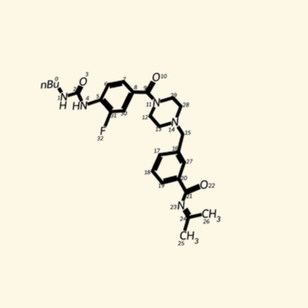 CCCCNC(=O)Nc1ccc(C(=O)N2CCN(Cc3cccc(C(=O)N=C(C)C)c3)CC2)cc1F